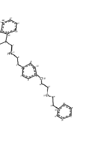 OC(CNCCc1ccc(OCCOCCc2ccccc2)cc1)c1cccc(Cl)c1